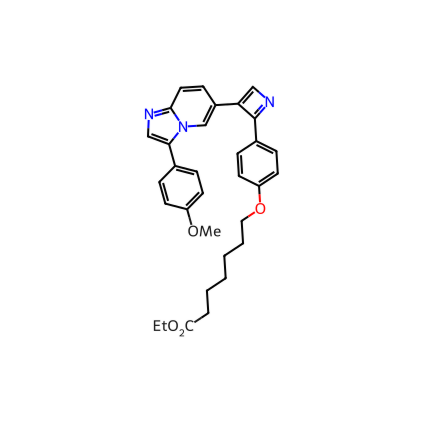 CCOC(=O)CCCCCCOc1ccc(C2=NC=C2c2ccc3ncc(-c4ccc(OC)cc4)n3c2)cc1